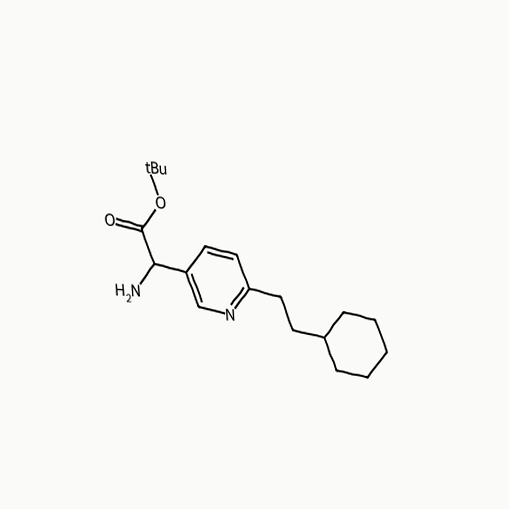 CC(C)(C)OC(=O)C(N)c1ccc(CCC2CCCCC2)nc1